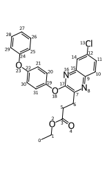 CCOC(=O)CCc1nc2ccc(Cl)cc2nc1Oc1ccc(Oc2ccccc2)cc1